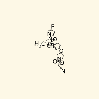 CC(C)CN(c1ccc(F)cn1)S(=O)(=O)c1ccc(OC2CCN(S(=O)(=O)CC#N)CC2)cc1